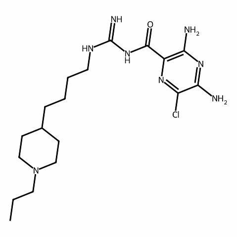 CCCN1CCC(CCCCNC(=N)NC(=O)c2nc(Cl)c(N)nc2N)CC1